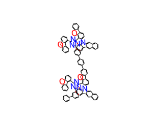 c1ccc(-c2cccc(-c3nc(-c4c(-n5c6ccccc6c6cc7ccccc7cc65)ccc5c4oc4cc(-c6ccc(-c7ccc(-c8nc(-c9c(-n%10c%11ccccc%11c%11cc%12ccccc%12cc%11%10)ccc%10c9oc9ccccc9%10)nc(-c9cccc%10oc%11ccccc%11c9%10)n8)cc7)cc6)ccc45)nc(-c4cccc5oc6ccccc6c45)n3)c2)cc1